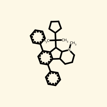 CN1CCCC2c3c(-c4ccccc4)ccc(-c4ccccc4)c3C(C(C)(C)C3CCCC3)C21